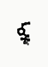 CS(=O)(=O)Nc1cccc(N=C=S)c1